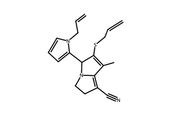 C=CCSC1=C(C)C2=C(C#N)CCN2C1c1cccn1CC=C